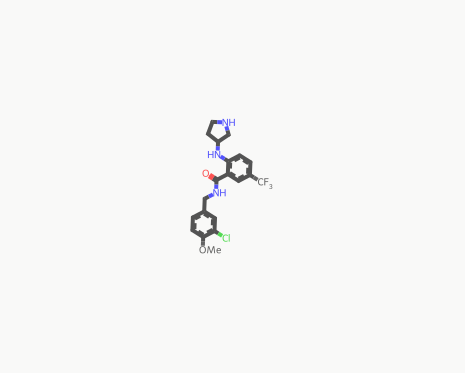 COc1ccc(CNC(=O)c2cc(C(F)(F)F)ccc2NC2CCNC2)cc1Cl